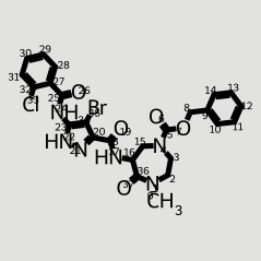 CN1CCN(C(=O)OCc2ccccc2)CC(NC(=O)c2n[nH]c(NC(=O)c3ccccc3Cl)c2Br)C1=O